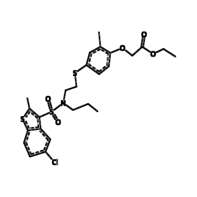 CCCN(CCSc1ccc(OCC(=O)OCC)c(C)c1)S(=O)(=O)c1c(C)sc2ccc(Cl)cc12